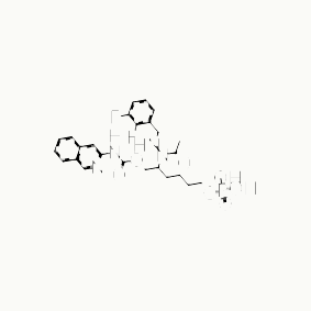 CC(=O)N(NCc1cccc(F)c1F)C(CCCCOP(=O)(O)O)COC(=O)Nc1cc2ccccc2cn1